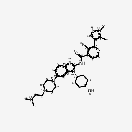 Cc1c(-c2nccc(C(=O)Nc3nc4ccc(N5CCN(CCN(C)C)CC5)cc4n3[C@H]3CC[C@@H](O)CC3)c2F)cnn1C